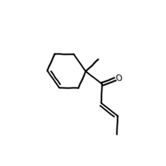 C/C=C/C(=O)C1(C)CC=CCC1